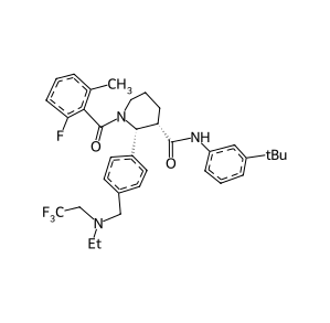 CCN(Cc1ccc([C@H]2[C@@H](C(=O)Nc3cccc(C(C)(C)C)c3)CCCN2C(=O)c2c(C)cccc2F)cc1)CC(F)(F)F